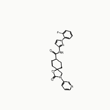 O=C(Nc1ccn(-c2ccccc2F)n1)C1CCC2(CC1)CN(c1cccnc1)C(=O)O2